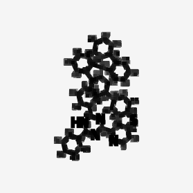 c1ccc(C2=NC(c3nccc4sc5ccc(-c6ccc7c(c6)C6(c8ccccc8-c8ccccc86)c6ccccc6-7)cc5c34)=NC(c3ccccc3)N2)cc1